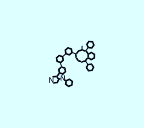 Cc1cc(-c2cccc(-c3cccc(-c4ccc5c(c4)c4cnccc4n5-c4ccccc4)c3)c2)cccc(-c2ccccc2)c2ccccc2c1-c1ccccc1